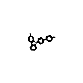 Cc1ccc(-c2ccc(-n3c4c(c5ccccc53)C=CC(C)C4)cc2)cc1